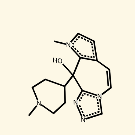 CN1CCC(C2(O)c3c(ccn3C)C=Cn3cnnc32)CC1